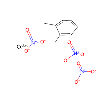 Cc1ccccc1C.O=[N+]([O-])[O-].O=[N+]([O-])[O-].O=[N+]([O-])[O-].[Ce+3]